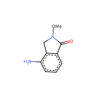 CON1Cc2c(N)cccc2C1=O